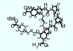 CCn1nc(C)cc1C(=O)Nc1nc2cc(C(=O)OC)ccc2n1C/C=C/Cn1c(NC(=O)c2cc(C)nn2CC)nc2cc(C(N)=O)cc(OCCCN3CCN(C(=O)OC(C)(C)C)CC3)c21